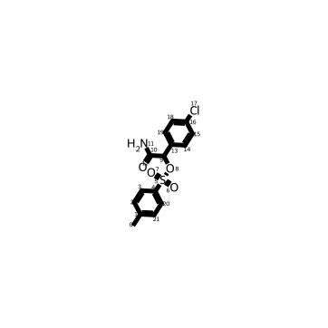 Cc1ccc(S(=O)(=O)OC(C(N)=O)c2ccc(Cl)cc2)cc1